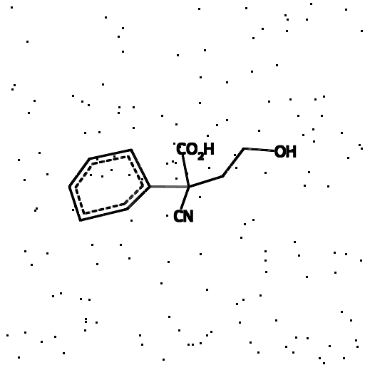 N#CC(CCO)(C(=O)O)c1ccccc1